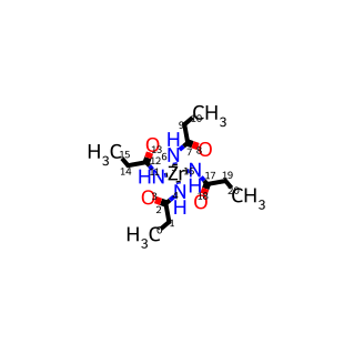 CCC(=O)[NH][Zr]([NH]C(=O)CC)([NH]C(=O)CC)[NH]C(=O)CC